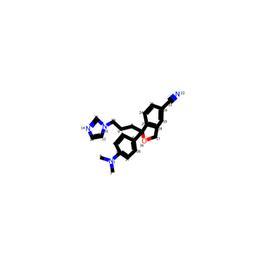 CN(C)c1ccc(C2(CCCn3ccnc3)OCc3cc(C#N)ccc32)cc1